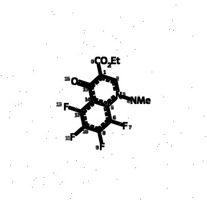 CCOC(=O)c1cn(NC)c2c(F)c(F)c(F)c(F)c2c1=O